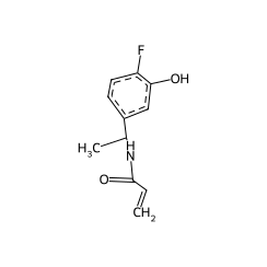 C=CC(=O)NC(C)c1ccc(F)c(O)c1